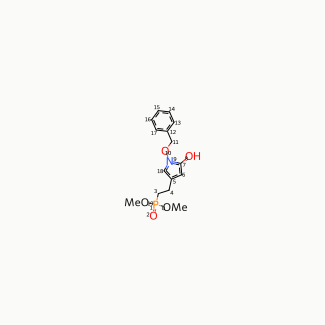 COP(=O)(CCc1cc(O)n(OCc2ccccc2)c1)OC